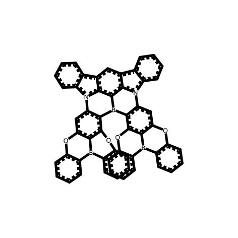 c1ccc2c(c1)Oc1cc3c(c4c1B2c1ccccc1O4)B1c2c(cc4c5c2Oc2ccccc2B5c2ccccc2O4)-n2c4ccccc4c4cc5c6ccccc6n-3c5c1c42